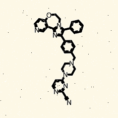 N#Cc1nccc(N2CCN(Cc3ccc(-c4nc5n(c4-c4ccccc4)CCOc4ccncc4-5)cc3)CC2)n1